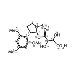 COc1cc(OC)c([C@@H]2CCN(C)[C@H]2OC(=O)C(O)C(O)C(=O)O)c(OC)c1